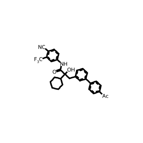 CC(=O)c1ccc(-c2cccc(CC(O)(C(=O)Nc3ccc(C#N)c(C(F)(F)F)c3)C3CCCCC3)c2)cc1